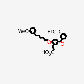 CCOC(=O)c1cccc(C(=O)c2ccc(OCCCCCCc3cccc(OC)c3)c(CCC(=O)O)c2)c1